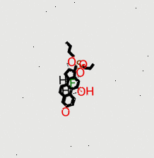 CCCCOC(=S)[C@@]1(OC(=O)CC)[C@@H](C)C[C@H]2[C@@H]3CCC4=CC(=O)C=C[C@]4(C)[C@@]3(F)[C@@H](O)C[C@@]21C